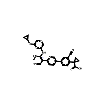 CN/C(Nc1cncc(OC2CC2)n1)=C(\C=N)c1ccc(-c2ccc(C3(C(=O)O)CC3)c(C#N)c2)cn1